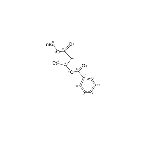 CCCCOC(=O)CC(CC)OC(=O)c1ccccc1